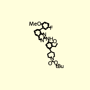 COc1ccc(F)cc1-c1cccc2cnc(Nc3ccc(C4CCN(C(=O)OC(C)(C)C)CC4)c4c3OCC4)nc12